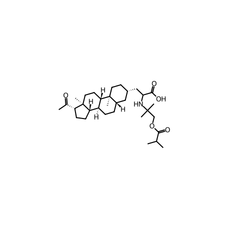 CC(=O)[C@H]1CC[C@H]2[C@@H]3CC[C@H]4C[C@@H](CC(NC(C)(C)COC(=O)C(C)C)C(=O)O)CC[C@]4(C)[C@H]3CC[C@]12C